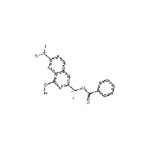 CC(C)Oc1nc([C@@H](C)OC(=O)c2ccccc2)cc2cnc([S+](C)[O-])nc12